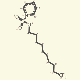 O=S(=O)(OCCCCCCCCCC(F)(F)F)[n+]1ccccc1